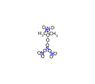 Cc1cc(-c2ccc(-c3ccc(-n4c5ccc(-n6c7ccccc7c7ccccc76)cc5c5cc(-n6c7ccccc7c7ccccc76)ccc54)cc3)cc2)cc(C)c1-c1cc(-c2ccccc2)nc(-c2ccccc2)n1